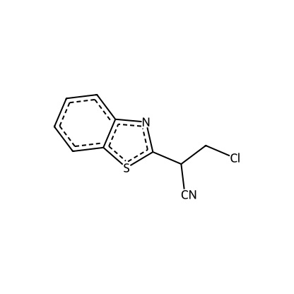 N#CC(CCl)c1nc2ccccc2s1